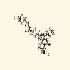 Nc1ncc(-c2nc(N3CCOCC3)nc(N3CCN(C(=O)COCC4CCNCC4)CC3)n2)c(C(F)F)n1